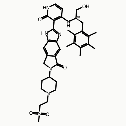 Cc1c(C)c(C)c(C[C@H](CO)Nc2cc[nH]c(=O)c2-c2nc3cc4c(cc3[nH]2)CN(C2CCN(CCS(C)(=O)=O)CC2)C4=O)c(C)c1C